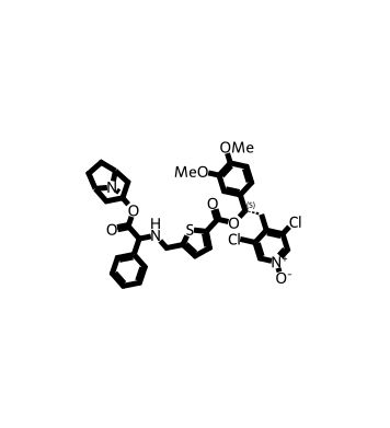 COc1ccc([C@H](Cc2c(Cl)c[n+]([O-])cc2Cl)OC(=O)c2ccc(CNC(C(=O)OC3CC4CCC(C3)N4C)c3ccccc3)s2)cc1OC